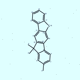 Cc1ccc2c(c1)C(C)(C)c1cc3c(cc1-2)sc1ccccc13